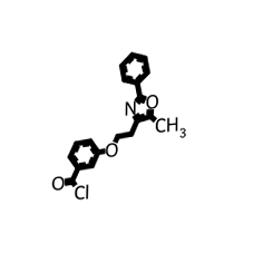 Cc1oc(-c2ccccc2)nc1CCOc1cccc(C(=O)Cl)c1